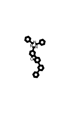 c1ccc(-c2cccc(-c3ccc4c(c3)oc3ccc(-c5nc(-c6ccccc6)nc(-c6ccccc6)n5)cc34)c2)cc1